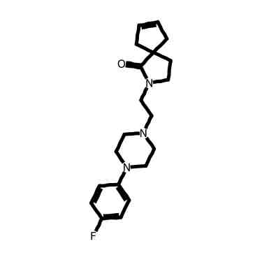 O=C1N(CCN2CCN(c3ccc(F)cc3)CC2)CCC12CC=CC2